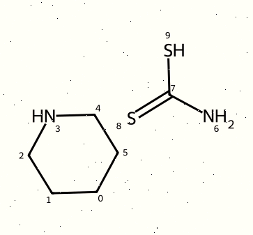 C1CCNCC1.NC(=S)S